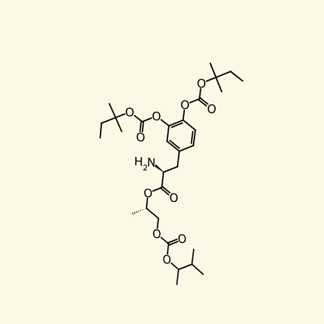 CCC(C)(C)OC(=O)Oc1ccc(C[C@H](N)C(=O)O[C@@H](C)COC(=O)OC(C)C(C)C)cc1OC(=O)OC(C)(C)CC